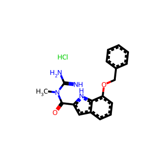 CN(C(=N)N)C(=O)c1cc2cccc(OCc3ccccc3)c2[nH]1.Cl